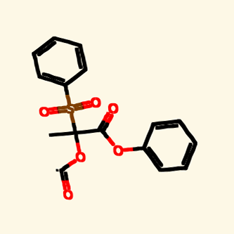 CC(O[C]=O)(C(=O)Oc1ccccc1)S(=O)(=O)c1ccccc1